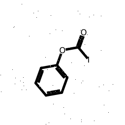 O=C(I)Oc1ccccc1